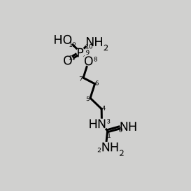 N=C(N)NCCCCOP(N)(=O)O